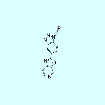 CC(C)Cn1nnc2cc(-c3nc4ccncc4o3)ccc21